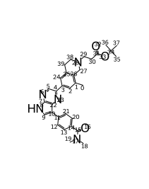 Cc1cc(-c2cnc3[nH]cc(-c4ccc(C(=O)N(C)C)cc4)c3n2)cc2c1CN(CCC(=O)OC(C)(C)C)CC2